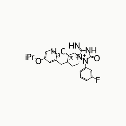 CC(C)Oc1cccc(CC2CC[N@+]3(C[C@@H]2C)C(=N)NC(=O)N3c2cccc(F)c2)c1